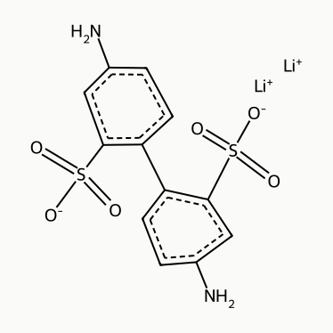 Nc1ccc(-c2ccc(N)cc2S(=O)(=O)[O-])c(S(=O)(=O)[O-])c1.[Li+].[Li+]